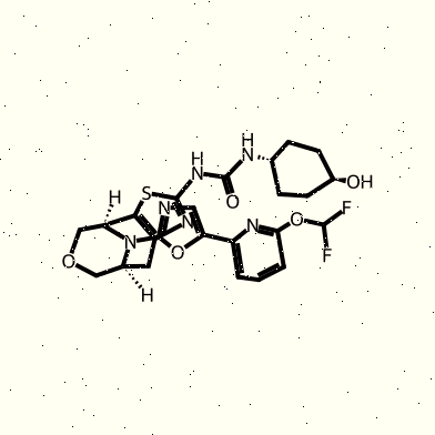 O=C(Nc1nc2c(s1)[C@@H]1COC[C@H](C2)N1c1ncc(-c2cccc(OC(F)F)n2)o1)N[C@H]1CC[C@H](O)CC1